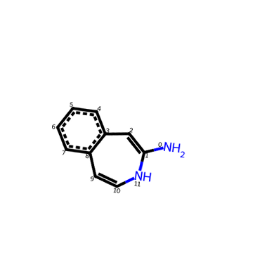 NC1=Cc2ccccc2C=CN1